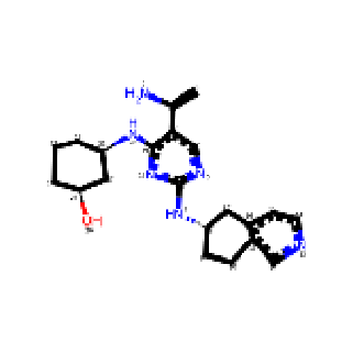 C=C(N)c1cnc(N[C@H]2CCc3cnccc3C2)nc1N[C@@H]1CCC[C@H](O)C1